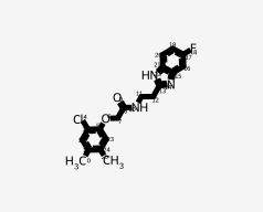 Cc1cc(Cl)c(OCC(=O)NCCc2nc3cc(F)ccc3[nH]2)cc1C